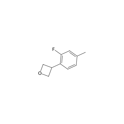 Cc1ccc(C2COC2)c(F)c1